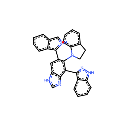 [c]1nc2c(-c3n[nH]c4ccccc34)c(N3CCc4ccccc43)c(-c3[nH]cc4ccccc34)cc2[nH]1